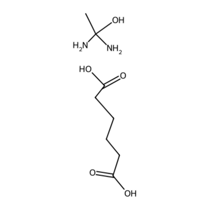 CC(N)(N)O.O=C(O)CCCCC(=O)O